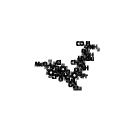 CC(C)Oc1cc(-n2nc(C(C)(C)C)oc2=O)c(Cl)cc1Cl.CC1COc2ccccc2N1C(=O)C(Cl)Cl.CCNc1nc(Cl)nc(NC(C)(C)C)n1.CCc1cccc(C)c1N(C(=O)CCl)C(C)COC.CP(=O)(O)CCC(N)C(=O)O